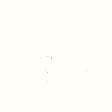 c1ccc(-c2cccc(N(c3cccc(-c4ccccc4)c3)c3cccc4ccc5c6cc(-c7ccccc7)ccc6sc5c34)c2)cc1